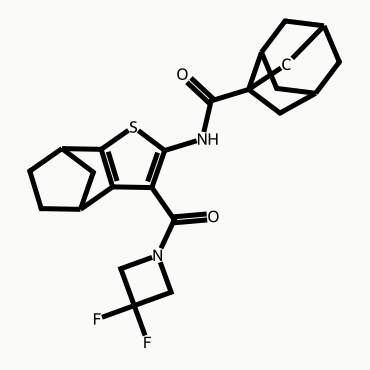 O=C(c1c(NC(=O)C23CC4CC(CC2C4)C3)sc2c1C1CCC2C1)N1CC(F)(F)C1